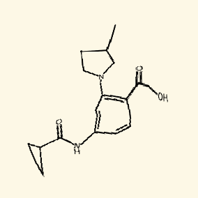 CC1CCN(c2cc(NC(=O)C3CC3)ccc2C(=O)O)C1